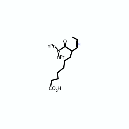 C/C=C\C(CCCCCCC(=O)O)C(=O)N(CCC)CCC